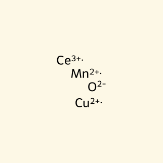 [Ce+3].[Cu+2].[Mn+2].[O-2]